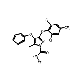 CCNC(=O)n1nc(Oc2c(F)cc(C(F)(F)F)cc2Cl)c(Oc2ccccc2)c1C